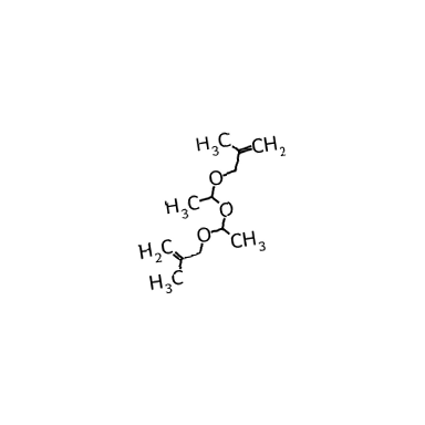 C=C(C)COC(C)OC(C)OCC(=C)C